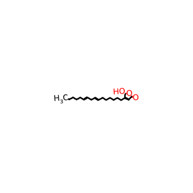 CCCCCC=CCC=CCCCCCCC1=CC(=O)OC1O